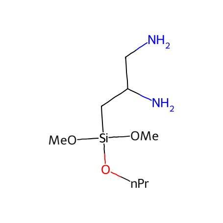 CCCO[Si](CC(N)CN)(OC)OC